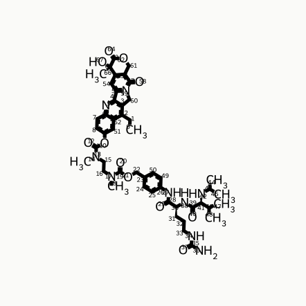 CCc1c2c(nc3ccc(OC(=O)N(C)CCN(C)C(=O)OCc4ccc(NC(=O)[C@H](CCCNC(N)=O)NC(=O)[C@@H](NC(C)C)C(C)C)cc4)cc13)-c1cc3c(c(=O)n1C2)COC(=O)[C@@]3(C)O